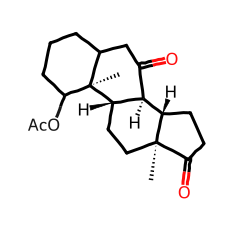 CC(=O)OC1CCCC2CC(=O)[C@@H]3[C@H](CC[C@]4(C)C(=O)CC[C@@H]34)[C@]21C